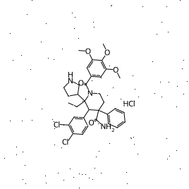 CCC1(C2CCNC2)C(c2ccc(Cl)c(Cl)c2)C(C(N)=O)(c2ccccc2)CCN1C(=O)c1cc(OC)c(OC)c(OC)c1.Cl